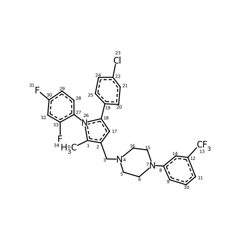 Cc1c(CN2CCN(c3cccc(C(F)(F)F)c3)CC2)cc(-c2ccc(Cl)cc2)n1-c1ccc(F)cc1F